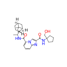 CC(NC(=O)c1cccc2nc(C(=O)NC3(CO)CCCC3)cn12)[C@@H]1CC[C@H]2C[C@@H]1C2(C)C